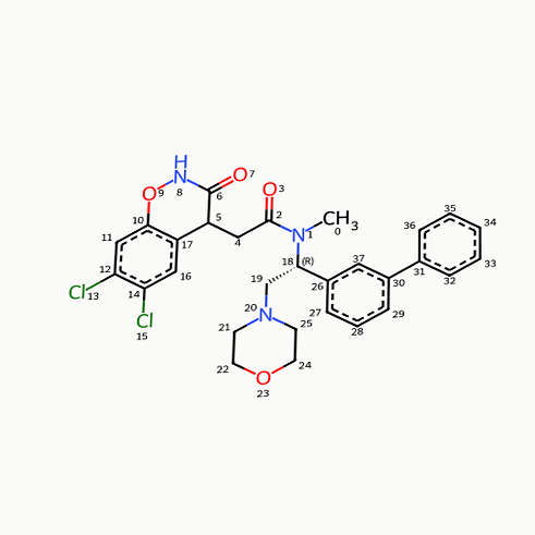 CN(C(=O)CC1C(=O)NOc2cc(Cl)c(Cl)cc21)[C@@H](CN1CCOCC1)c1cccc(-c2ccccc2)c1